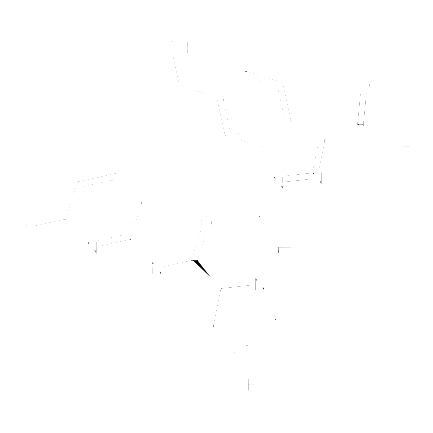 CCc1ccc2c(C(C)=O)nn(CC(=O)N3C[C@H](F)C[C@H]3C(=O)Nc3cccc(Br)n3)c2c1